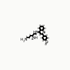 CNC(CCCN)CCNc1cc(-c2ccc(OC)cc2)nc2ccccc12